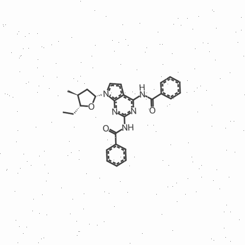 CC[C@H]1O[C@@H](n2ccc3c(NC(=O)c4ccccc4)nc(NC(=O)c4ccccc4)nc32)C[C@@H]1C